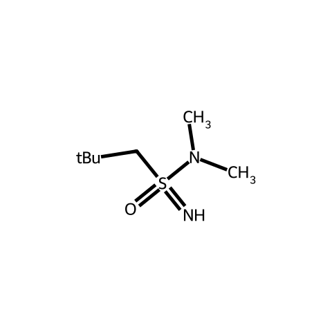 CN(C)S(=N)(=O)CC(C)(C)C